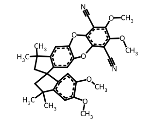 COc1cc2c(cc1OC)C1(CC2(C)C)CC(C)(C)c2cc3c(cc21)Oc1c(C#N)c(OC)c(OC)c(C#N)c1O3